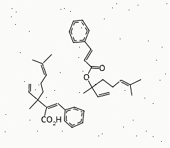 C=CC(C)(CCC=C(C)C)C(=Cc1ccccc1)C(=O)O.C=CC(C)(CCC=C(C)C)OC(=O)/C=C/c1ccccc1